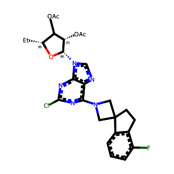 CC[C@H]1O[C@@H](n2cnc3c(N4CC5(CCc6c(F)cccc65)C4)nc(Cl)nc32)[C@@H](OC(C)=O)C1OC(C)=O